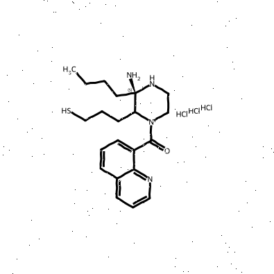 CCCC[C@]1(N)NCCN(C(=O)c2cccc3cccnc23)C1CCCS.Cl.Cl.Cl